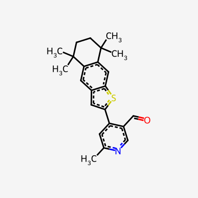 Cc1cc(-c2cc3cc4c(cc3s2)C(C)(C)CCC4(C)C)c(C=O)cn1